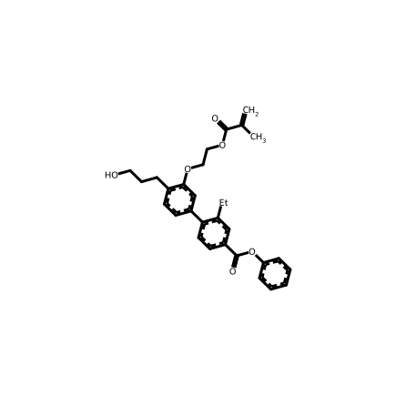 C=C(C)C(=O)OCCOc1cc(-c2ccc(C(=O)Oc3ccccc3)cc2CC)ccc1CCCO